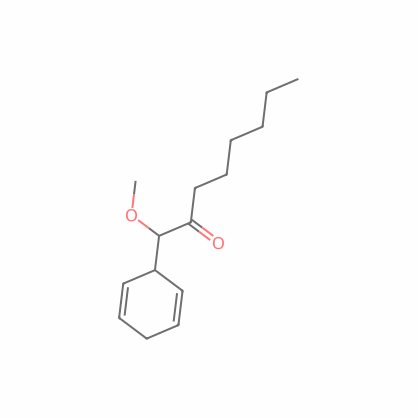 CCCCCCC(=O)C(OC)C1C=CCC=C1